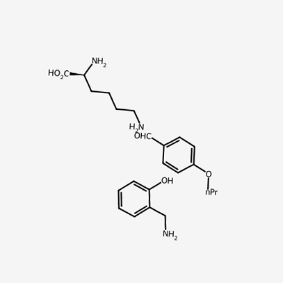 CCCOc1ccc(C=O)cc1.NCCCC[C@H](N)C(=O)O.NCc1ccccc1O